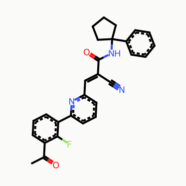 CC(=O)c1cccc(-c2cccc(/C=C(\C#N)C(=O)NC3(c4ccccc4)CCCC3)n2)c1F